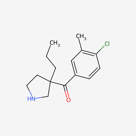 CCCC1(C(=O)c2ccc(Cl)c(C)c2)CCNC1